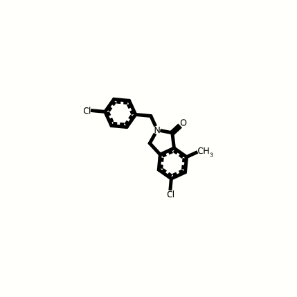 Cc1cc(Cl)cc2c1C(=O)N(Cc1ccc(Cl)cc1)C2